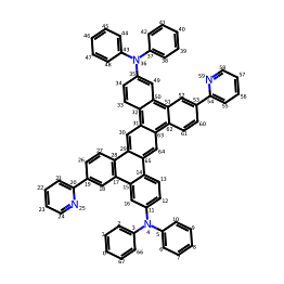 c1ccc(N(c2ccccc2)c2ccc3c(c2)c2cc(-c4ccccn4)ccc2c2cc4c5ccc(N(c6ccccc6)c6ccccc6)cc5c5cc(-c6ccccn6)ccc5c4cc32)cc1